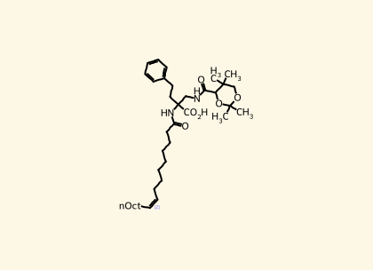 CCCCCCCC/C=C\CCCCCCCC(=O)NC(CCc1ccccc1)(CNC(=O)C1OC(C)(C)OCC1(C)C)C(=O)O